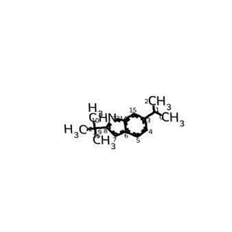 CC(C)c1ccc2cc(C(C)(C)C)[nH]c2c1